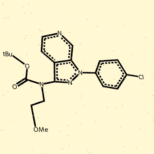 COCCN(C(=O)OC(C)(C)C)c1nn(-c2ccc(Cl)cc2)c2cnccc12